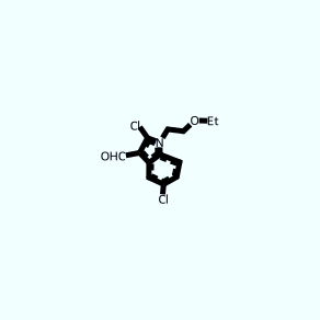 CCOCCn1c(Cl)c(C=O)c2cc(Cl)ccc21